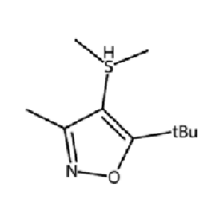 Cc1noc(C(C)(C)C)c1[SH](C)C